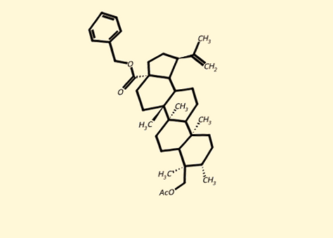 C=C(C)[C@@H]1CC[C@]2(C(=O)OCc3ccccc3)CC[C@]3(C)C(CCC4[C@@]5(C)CC[C@H](C)[C@@](C)(COC(C)=O)C5CC[C@]43C)C12